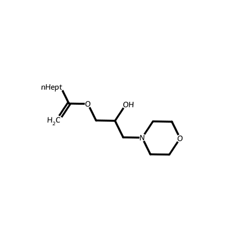 C=C(CCCCCCC)OCC(O)CN1CCOCC1